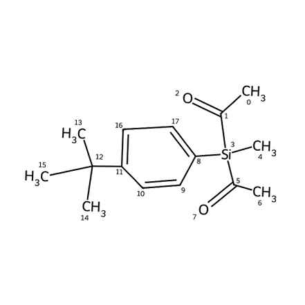 CC(=O)[Si](C)(C(C)=O)c1ccc(C(C)(C)C)cc1